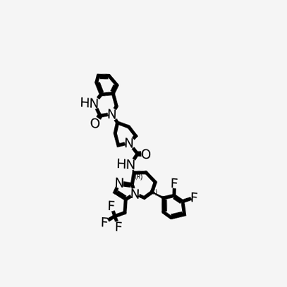 O=C(N[C@@H]1CC[C@@H](c2cccc(F)c2F)Cn2c(CC(F)(F)F)cnc21)N1CCC(N2Cc3ccccc3NC2=O)CC1